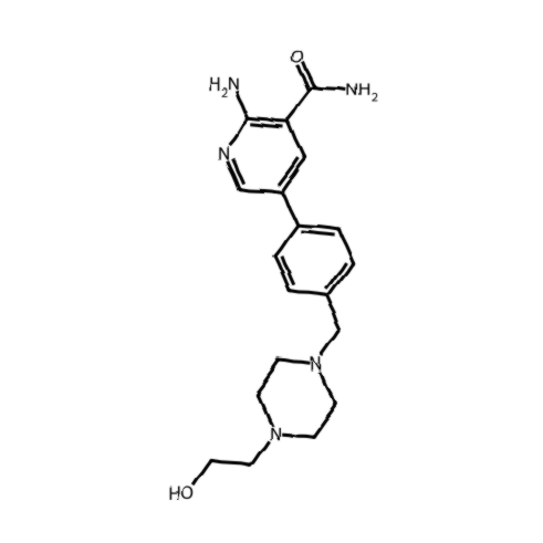 NC(=O)c1cc(-c2ccc(CN3CCN(CCO)CC3)cc2)cnc1N